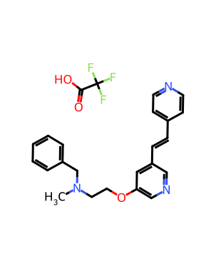 CN(CCOc1cncc(C=Cc2ccncc2)c1)Cc1ccccc1.O=C(O)C(F)(F)F